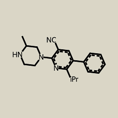 CC1CN(c2nc(C(C)C)c(-c3ccccc3)cc2C#N)CCN1